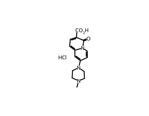 CN1CCN(c2ccn3c(=O)c(C(=O)O)ccc3c2)CC1.Cl